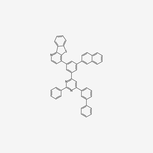 c1ccc(-c2cccc(-c3cc(-c4cc(-c5ccc6ccccc6c5)cc(-c5ccnc6c5sc5ccccc56)c4)nc(-c4ccccc4)n3)c2)cc1